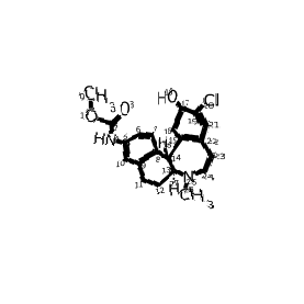 COC(=O)Nc1ccc2c(c1)CC[C@H]1[C@H]2c2cc(O)c(Cl)cc2CCN1C